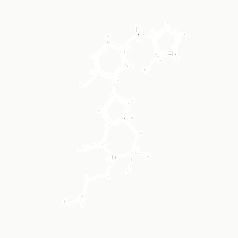 COCCN1C(=O)c2cc(-c3nc(Nc4ccnn4C)ncc3C)cn2CC1(C)C